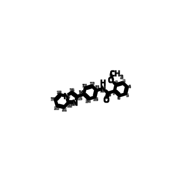 COc1ccccc1C(=O)Nc1ccc(-c2cn3ccccc3n2)cc1